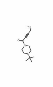 CC(C)(C)N1CCN(C(=O)C#CCO)CC1